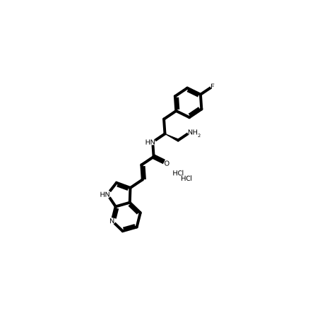 Cl.Cl.NC[C@H](Cc1ccc(F)cc1)NC(=O)/C=C/c1c[nH]c2ncccc12